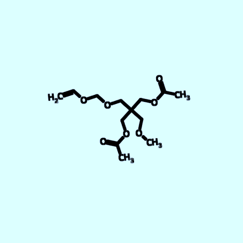 C=COCOCC(COC)(COC(C)=O)COC(C)=O